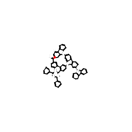 FC(F)(F)c1cccc(-c2cc(-n3c4cc(-n5c6c(c7ccccc75)CCC=C6)ccc4c4ccc(-n5c6ccccc6c6ccccc65)cc43)ccc2-c2nc(-c3ccccc3)nc(-c3ccccc3)n2)c1